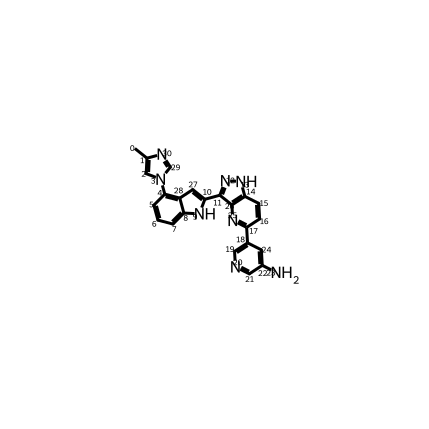 Cc1cn(-c2cccc3[nH]c(-c4n[nH]c5ccc(-c6cncc(N)c6)nc45)cc23)cn1